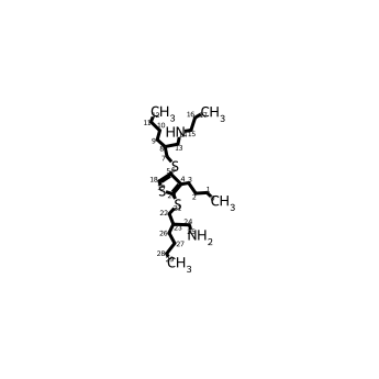 CCCCc1c(SCC(CCCC)CNCCC)csc1SCC(CN)CCCC